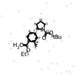 C=C(OCC)c1ccc([C@@H]2CCCN2C(=O)OC(C)(C)C)cc1F